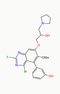 COc1c(OCC(O)CN2CCCC2)cc2nc(F)nc(Br)c2c1-c1cccc(O)c1